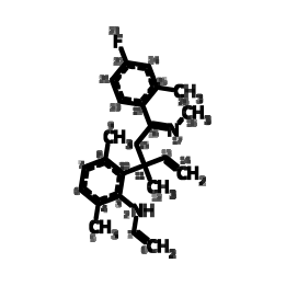 C=CNc1c(C)ccc(C)c1C(C)(C=C)C/C(=N/C)c1ccc(F)cc1C